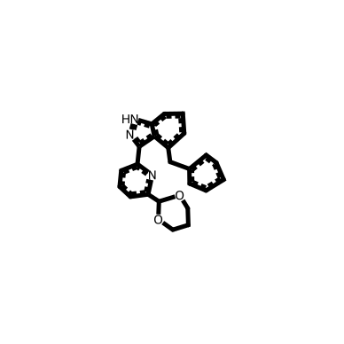 c1ccc(Cc2cccc3[nH]nc(-c4cccc(C5OCCCO5)n4)c23)cc1